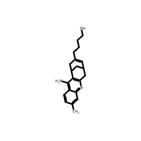 Cc1ccc2c(N)c3c(nc2c1)CC1C=C(CCCCO)CC3C1